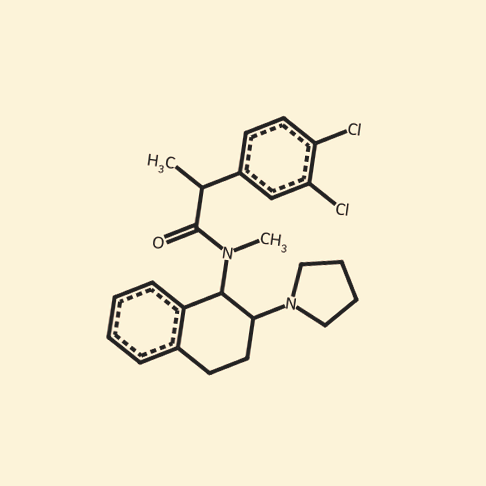 CC(C(=O)N(C)C1c2ccccc2CCC1N1CCCC1)c1ccc(Cl)c(Cl)c1